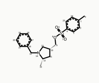 Cc1ccc(S(=O)(=O)OC[C@@H]2C[C@H](C)N(Cc3ccccc3)C2)cc1